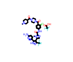 CN1CCC(C(=O)N2CCN(C(=O)c3ccc(NC(=O)c4ncc(-c5c(C(F)(F)F)n[nH]c5-c5ccc(N)nn5)n4C)cc3Cl)CC2)CC1.O=C(O)C(F)(F)F